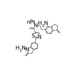 C=C1CCc2c1ccc(CCN(CCC)C(=C)c1cnc(-c3ccc4c(c3)N(N)C(=C)C4)s1)c2N